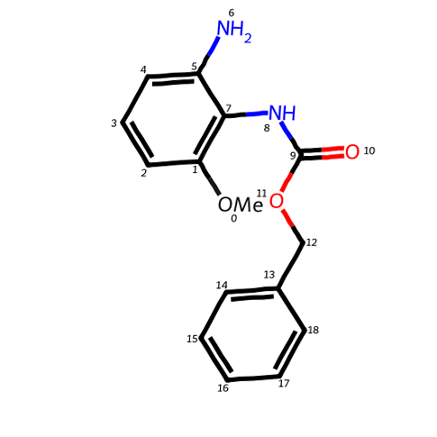 COc1cccc(N)c1NC(=O)OCc1ccccc1